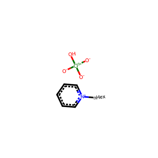 CCCCCC[n+]1ccccc1.[O-][Cl+3]([O-])([O-])O